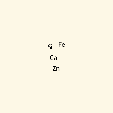 [Ca].[Fe].[Si].[Zn]